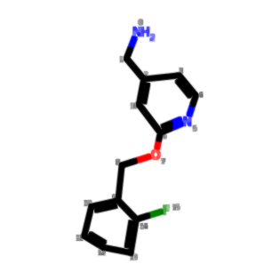 NCc1ccnc(OCc2ccccc2F)c1